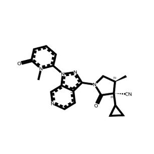 C[C@@H]1CN(c2nn(-c3cccc(=O)n3C)c3cnccc23)C(=O)[C@]1(C#N)C1CC1